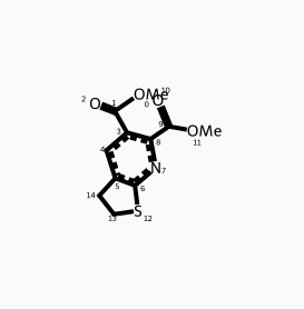 COC(=O)c1cc2c(nc1C(=O)OC)SCC2